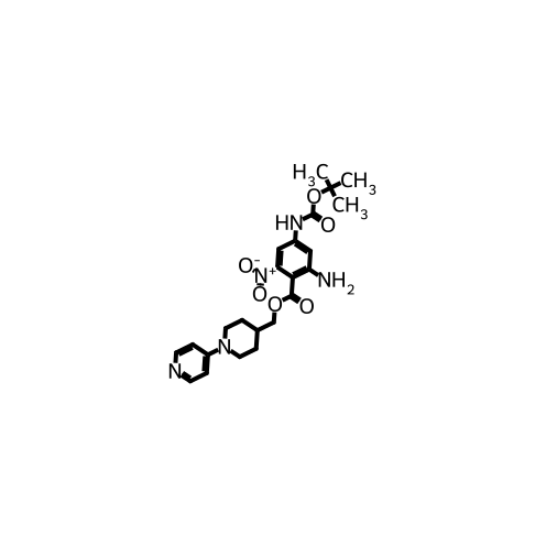 CC(C)(C)OC(=O)Nc1cc(N)c(C(=O)OCC2CCN(c3ccncc3)CC2)c([N+](=O)[O-])c1